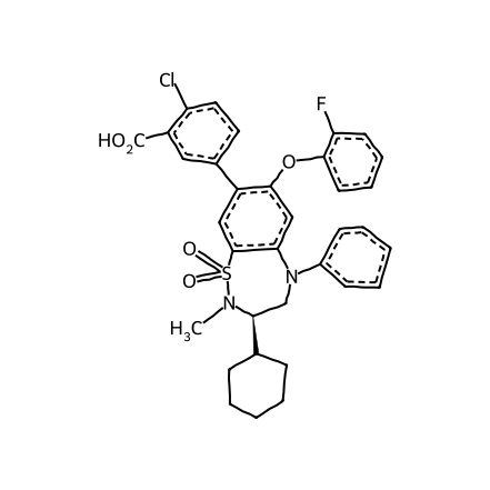 CN1[C@H](C2CCCCC2)CN(c2ccccc2)c2cc(Oc3ccccc3F)c(-c3ccc(Cl)c(C(=O)O)c3)cc2S1(=O)=O